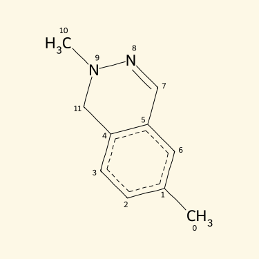 Cc1ccc2c(c1)C=NN(C)C2